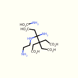 NC(=O)O.NCCNC(N)(CC(=O)O)C(CC(=O)O)(CC(=O)O)CC(=O)O